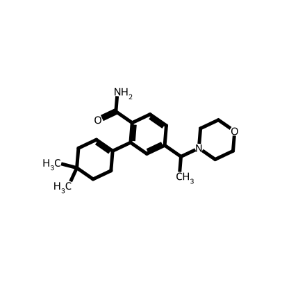 CC(c1ccc(C(N)=O)c(C2=CCC(C)(C)CC2)c1)N1CCOCC1